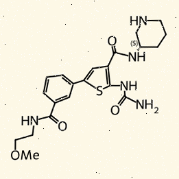 COCCNC(=O)c1cccc(-c2cc(C(=O)N[C@H]3CCCNC3)c(NC(N)=O)s2)c1